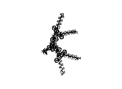 CCCCCCCCC(=O)OCC(COC(=O)CCCCCCCC)CC(=O)OC[C@H]1C[C@H](OC(=O)CC(COC(=O)CCCCCCCC)COC(=O)CCCCCCCC)CN1C(=O)OCCN(C)C